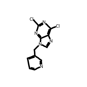 Clc1nc(Cl)c2ncn(Cc3cccnc3)c2n1